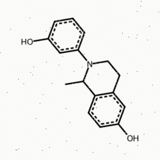 CC1c2ccc(O)cc2CCN1c1cccc(O)c1